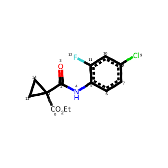 CCOC(=O)C1(C(=O)Nc2ccc(Cl)cc2F)CC1